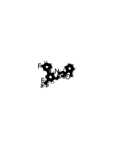 NCCC1(COCc2cc(-c3cccc(F)c3)cc(C(F)(F)F)c2)OCc2ccccc21